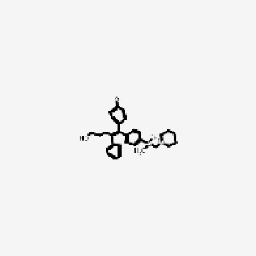 CS(C)(CN1CCCCC1)c1ccc(/C(=C(/CCCO)c2ccccc2)c2ccc(O)cc2)cc1